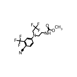 COC(=O)NCCN(CC(F)(F)F)c1ccc(C#N)c(C(F)(F)F)c1